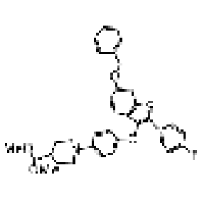 COC(OC)C1CCN(c2ccc(Oc3c(-c4ccc(F)cc4)sc4cc(OCc5ccccc5)ccc34)cc2)CC1